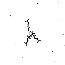 CC(C)C=CC(C)(C)C1(C)OB(CCOCC(C)C)OC1(C)C(C)(C)C=CC(C)C